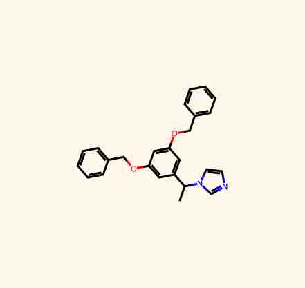 CC(c1cc(OCc2ccccc2)cc(OCc2ccccc2)c1)n1ccnc1